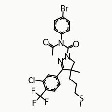 CSCCCC1(C)CN(C(=O)N(C(C)=O)c2ccc(Br)cc2)N=C1c1ccc(C(F)(F)F)c(Cl)c1